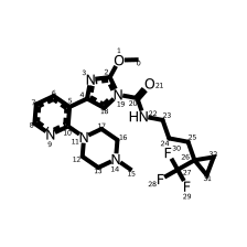 COc1nc(-c2cccnc2N2CCN(C)CC2)cn1C(=O)NCCCC1(C(F)(F)F)CC1